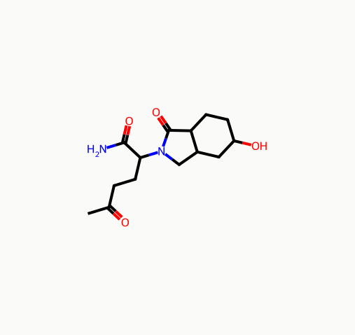 CC(=O)CCC(C(N)=O)N1CC2CC(O)CCC2C1=O